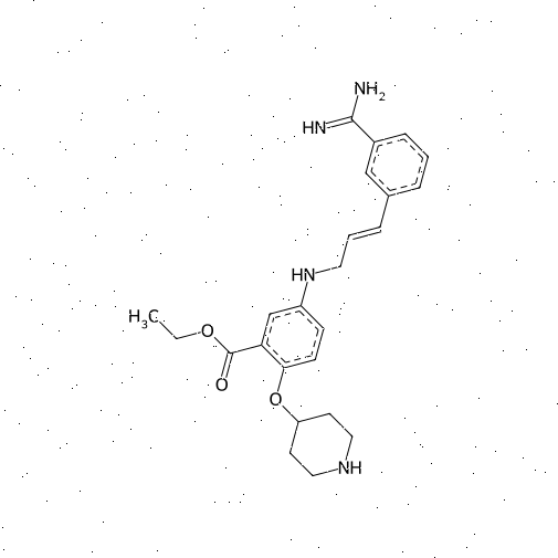 CCOC(=O)c1cc(NCC=Cc2cccc(C(=N)N)c2)ccc1OC1CCNCC1